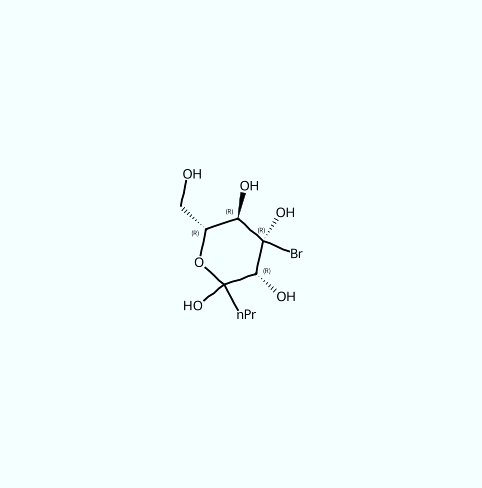 CCCC1(O)O[C@H](CO)[C@@H](O)[C@@](O)(Br)[C@@H]1O